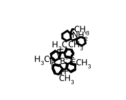 CCC1([NH2+]C2(CC)CCCCC2)CCCCC1.Cc1ccc(F)c([B-](c2c(F)ccc(C)c2F)(c2c(F)ccc(C)c2F)c2c(F)ccc(C)c2F)c1F